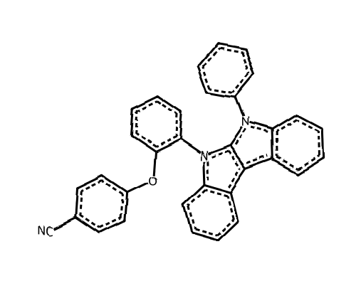 N#Cc1ccc(Oc2ccccc2-n2c3ccccc3c3c4ccccc4n(-c4ccccc4)c32)cc1